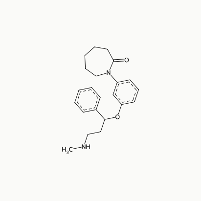 CNCCC(Oc1cccc(N2CCCCCC2=O)c1)c1ccccc1